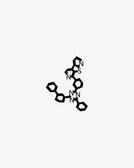 c1ccc(-c2cccc(-c3nc(-c4ccccc4)nc(-c4cccc(-c5nccc6c5sc5ncccc56)c4)n3)c2)cc1